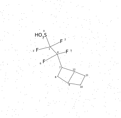 O=S(=O)(O)C(F)(F)C(F)(F)C1CC2CCC21